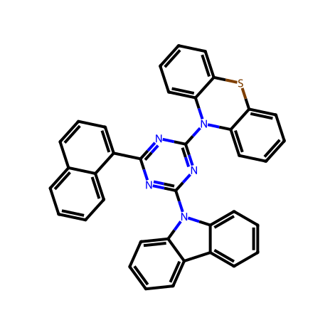 c1ccc2c(c1)Sc1ccccc1N2c1nc(-c2cccc3ccccc23)nc(-n2c3ccccc3c3ccccc32)n1